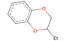 CCC1COc2ccccc2O1